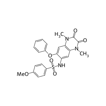 COc1ccc(S(=O)(=O)Nc2cc3c(cc2Oc2ccccc2)n(C)c(=O)c(=O)n3C)cc1